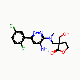 CN(CC1(CO)CCOC1=O)c1nnc(-c2cc(Cl)ccc2F)cc1N